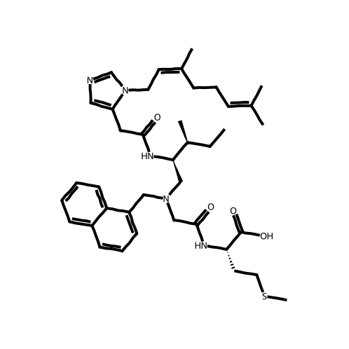 CC[C@H](C)[C@@H](CN(CC(=O)N[C@@H](CCSC)C(=O)O)Cc1cccc2ccccc12)NC(=O)Cc1cncn1CC=C(C)CCC=C(C)C